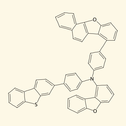 c1ccc2c(c1)ccc1c2oc2cccc(-c3ccc(N(c4ccc(-c5ccc6c(c5)sc5ccccc56)cc4)c4cccc5oc6ccccc6c45)cc3)c21